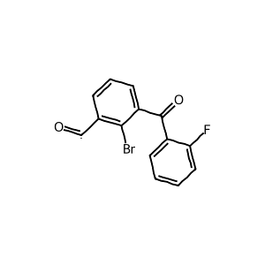 O=[C]c1cccc(C(=O)c2ccccc2F)c1Br